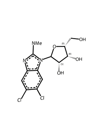 CNc1nc2cc(Cl)c(Cl)cc2n1C1O[C@H](CO)[C@H](O)[C@@H]1O